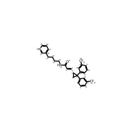 O=C(/C=C/[C@H]1CC1(c1cccc(C(F)(F)F)c1)c1cccc(C(F)(F)F)c1)NCCCCc1cccnc1